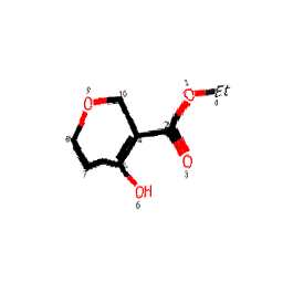 CCOC(=O)C1=C(O)CCOC1